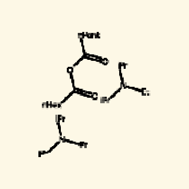 CCCCCCC(=O)OC(=O)CCCCC.CCN(C(C)C)C(C)C.CCN(C(C)C)C(C)C